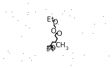 CCOCCOC(=O)CCC(C)CC(=O)CC(C)C